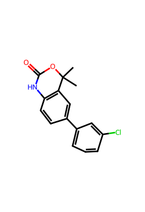 CC1(C)OC(=O)Nc2ccc(-c3cccc(Cl)c3)cc21